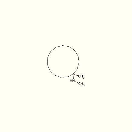 CNC1(C)CCCCCCCCCCCCCC1